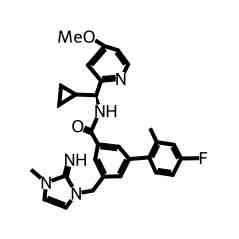 COc1ccnc([C@@H](NC(=O)c2cc(Cn3ccn(C)c3=N)cc(-c3ccc(F)cc3C)c2)C2CC2)c1